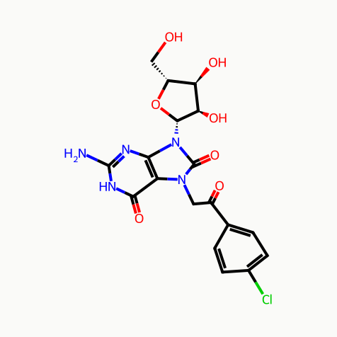 Nc1nc2c(c(=O)[nH]1)n(CC(=O)c1ccc(Cl)cc1)c(=O)n2[C@@H]1O[C@H](CO)[C@@H](O)[C@H]1O